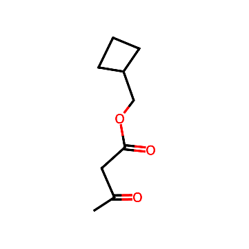 CC(=O)CC(=O)OCC1CCC1